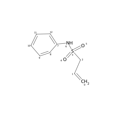 C=CCS(=O)(=O)Nc1[c]cccc1